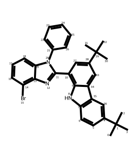 CC(C)(C)c1ccc2[nH]c3c(-c4nc5c(Br)cccc5n4-c4ccccc4)cc(C(C)(C)C)cc3c2c1